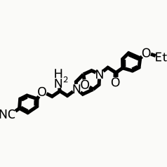 CCOc1ccc(C(=O)CN2CC3CN(CC(N)COc4ccc(C#N)cc4)CC(C2)O3)cc1